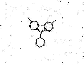 Cc1ccc2c(c1)c1cc(C)ccc1n2C1C=CCOC1